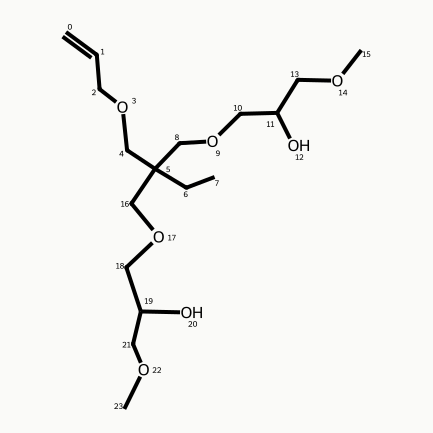 C=CCOCC(CC)(COCC(O)COC)COCC(O)COC